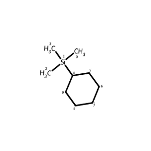 C[Si](C)(C)C1CC[CH]CC1